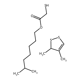 CC(C)CCCCCOC(=O)CS.CC1=CSSC1C